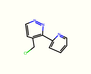 ClCc1ccnnc1-c1ccccn1